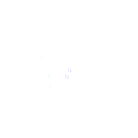 FC(F)(F)c1nn(C(c2ccccc2)(c2ccccc2)c2ccccc2)cc1CCBr